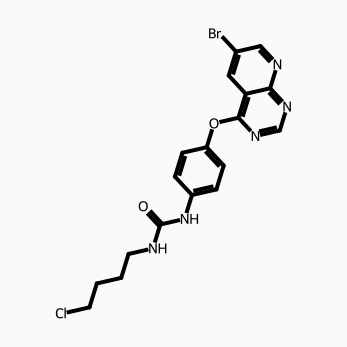 O=C(NCCCCCl)Nc1ccc(Oc2ncnc3ncc(Br)cc23)cc1